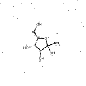 NC1(O)O[C@H](CO)[C@@H](O)[C@H]1O